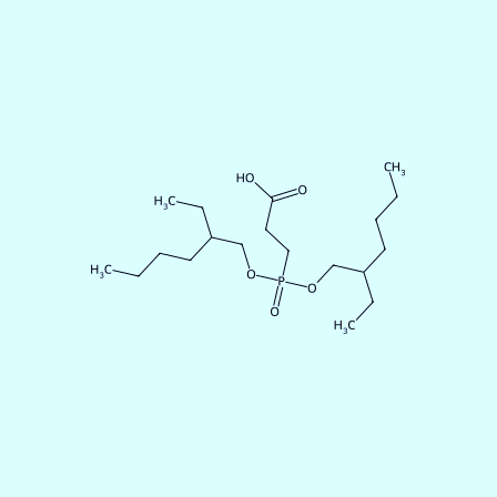 CCCCC(CC)COP(=O)(CCC(=O)O)OCC(CC)CCCC